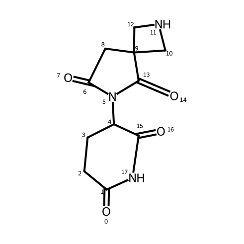 O=C1CCC(N2C(=O)CC3(CNC3)C2=O)C(=O)N1